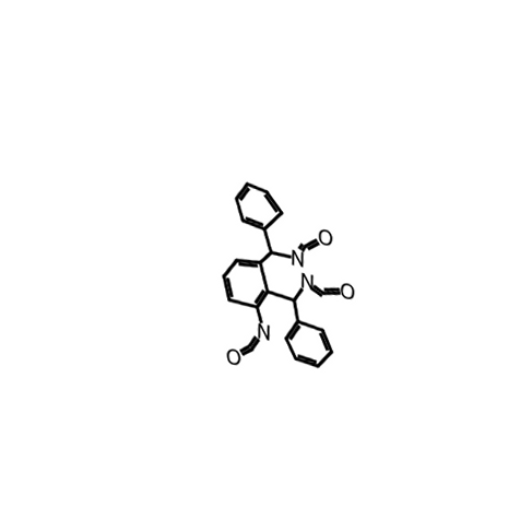 O=C=Nc1cccc(C(N=C=O)c2ccccc2)c1C(N=C=O)c1ccccc1